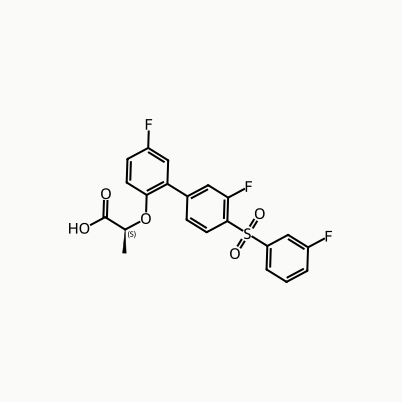 C[C@H](Oc1ccc(F)cc1-c1ccc(S(=O)(=O)c2cccc(F)c2)c(F)c1)C(=O)O